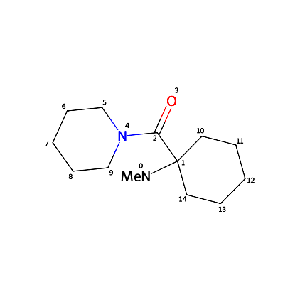 CNC1(C(=O)N2CCCCC2)CCCCC1